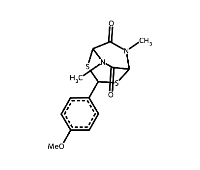 COc1ccc(C2SC3C(=O)N(C)C(S2)C(=O)N3C)cc1